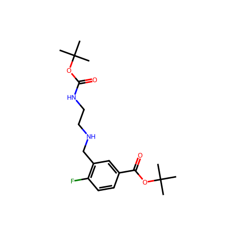 CC(C)(C)OC(=O)NCCNCc1cc(C(=O)OC(C)(C)C)ccc1F